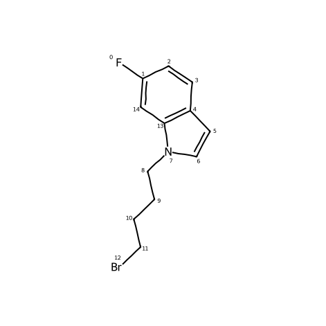 Fc1ccc2ccn(CCCCBr)c2c1